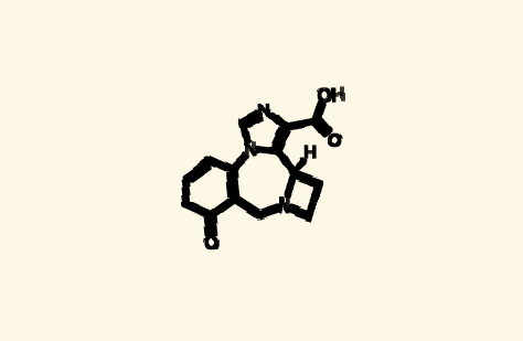 O=C1CC=CC2=C1CN1CC[C@H]1c1c(C(=O)O)ncn12